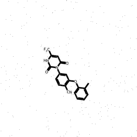 Cc1ccccc1Oc1cc(-n2c(=O)cc(C(F)(F)F)[nH]c2=O)ccc1C#N